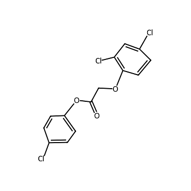 O=C(COc1ccc(Cl)cc1Cl)Oc1ccc(Cl)cc1